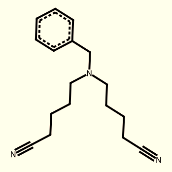 N#CCCCCN(CCCCC#N)Cc1ccccc1